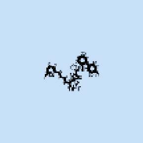 CCCC(CCCCc1cccc(C)n1)c1nc(C(=O)Nc2ccccc2-c2ccc(C)cc2)cs1